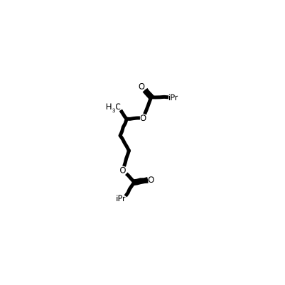 CC(CCOC(=O)C(C)C)OC(=O)C(C)C